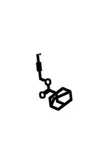 [CH2]C#CCOC(=O)C12CC3CC(CC(C3)C1)C2